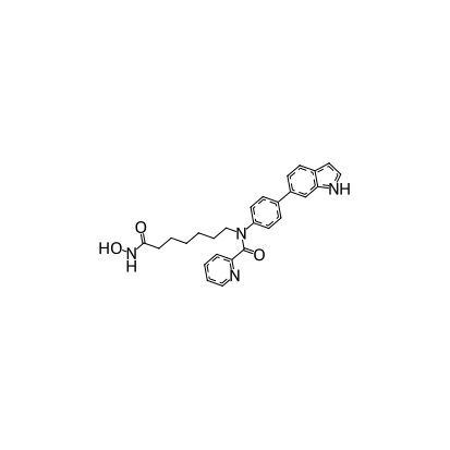 O=C(CCCCCCN(C(=O)c1ccccn1)c1ccc(-c2ccc3cc[nH]c3c2)cc1)NO